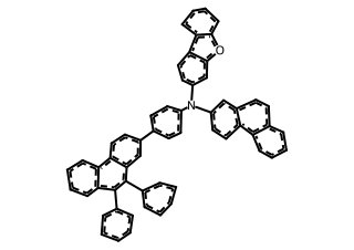 c1ccc(-c2c(-c3ccccc3)c3cc(-c4ccc(N(c5ccc6c(ccc7ccccc76)c5)c5ccc6c(c5)oc5ccccc56)cc4)ccc3c3ccccc23)cc1